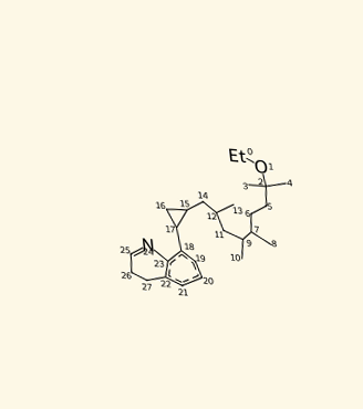 CCOC(C)(C)CCC(C)C(C)CC(C)CC1CC1c1cccc2c1N=CCC2